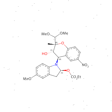 CCOC(=O)O[C@H]1Cc2cc(OC)ccc2N1[C@@H]1c2cc([N+](=O)[O-])ccc2O[C@@](C)(C(OC)OC)[C@H]1O